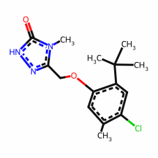 Cc1cc(OCc2n[nH]c(=O)n2C)c(C(C)(C)C)cc1Cl